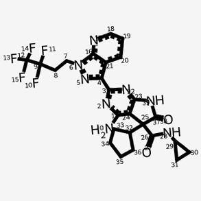 Nc1nc(-c2nn(CCC(F)(F)C(F)(F)F)c3ncccc23)nc2c1C(C(=O)NC1CC1)(C1CCCC1)C(=O)N2